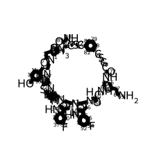 C[C@@]12CCCN1C(=O)[C@H](Cc1ccc(O)cc1)NC(=O)[C@H]1CS[C@H]3CC[C@H](NC(=O)[C@H](Cc4c[nH]c5ccc(F)cc45)NC(=O)[C@H](Cc4c[nH]c5ccc(F)cc45)NC(=O)CNC(=O)[C@H](CCCCN)NC(=O)CCSCc4cccc(c4)CSC[C@@H](C(N)=O)NC2=O)C(=O)N31